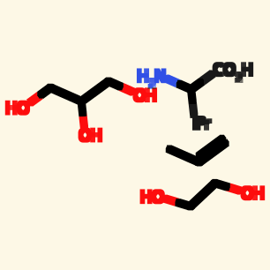 C=CC.CC(C)C(N)C(=O)O.OCC(O)CO.OCCO